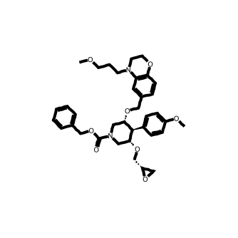 COCCCN1CCOc2ccc(CO[C@H]3CN(C(=O)OCc4ccccc4)C[C@@H](OC[C@@H]4CO4)[C@@H]3c3ccc(OC)cc3)cc21